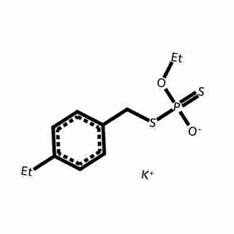 CCOP([O-])(=S)SCc1ccc(CC)cc1.[K+]